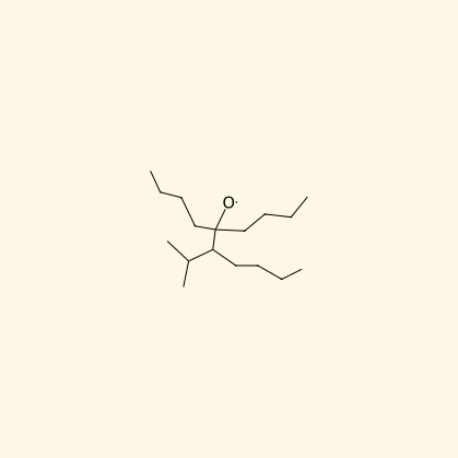 CCCCC(C(C)C)C([O])(CCCC)CCCC